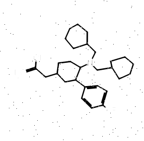 C=C(O)CC1CCC(N(CC2CCCCC2)CC2CCCCC2)C(c2ccc(C(F)(F)F)cc2)C1